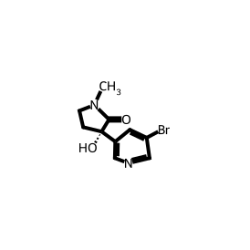 CN1CC[C@](O)(c2cncc(Br)c2)C1=O